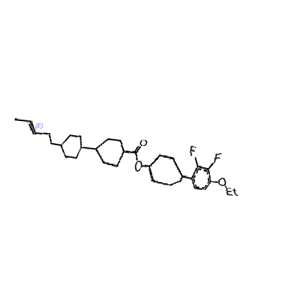 C/C=C/CCC1CCC(C2CCC(C(=O)OC3CCC(c4ccc(OCC)c(F)c4F)CC3)CC2)CC1